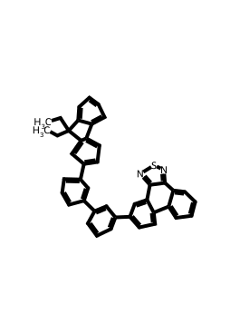 CCC1(CC)c2ccccc2-c2ccc(-c3cccc(-c4cccc(-c5ccc6c7ccccc7c7nsnc7c6c5)c4)c3)cc21